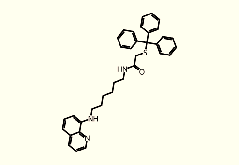 O=C(CSC(c1ccccc1)(c1ccccc1)c1ccccc1)NCCCCCCNc1cccc2cccnc12